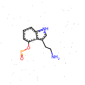 NCCc1c[nH]c2cccc(OP=O)c12